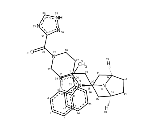 Cc1nc2ccccc2n1[C@H]1C[C@H]2CC[C@@H](C1)N2CCC1(c2ccccc2)CCN(C(=O)c2nc[nH]n2)CC1